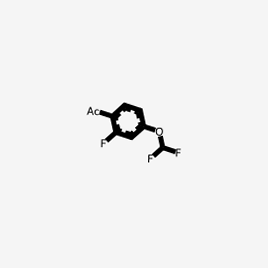 CC(=O)c1ccc(OC(F)F)cc1F